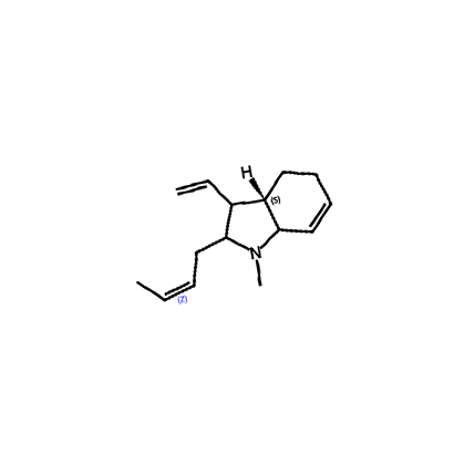 C=CC1C(C/C=C\C)N(C)C2C=CCC[C@@H]12